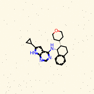 c1ccc2c(c1)CC[C@@H](C1CCOCC1)[C@H]2Nc1ncnc2[nH]c(C3CC3)cc12